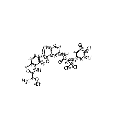 CCOC(C)C(=O)Nc1c(F)ccc(NC(=O)c2cc(NC(=O)[C@H]3[C@H](c4cc(Cl)c(Cl)c(Cl)c4)C3(Cl)Cl)ccc2Cl)c1F